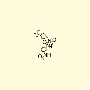 CC(=O)Nc1cccc(-n2ncc(=O)n(Cc3ccc(C(F)(F)F)cc3)c2=O)c1